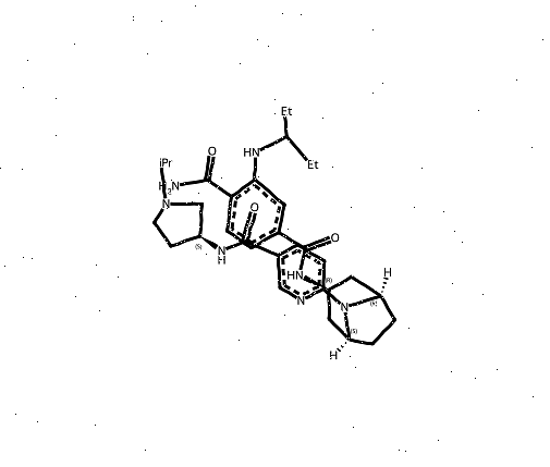 CCC(CC)Nc1cc(C(=O)N[C@H]2C[C@H]3CC[C@@H](C2)N3c2ccc(C(=O)N[C@H]3CCN(C(C)C)C3)cn2)ccc1C(N)=O